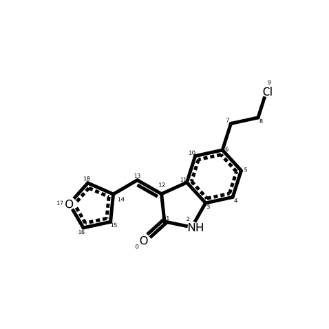 O=C1Nc2ccc(CCCl)cc2C1=Cc1ccoc1